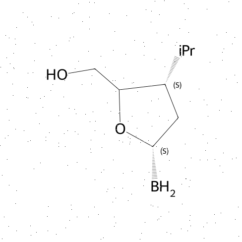 B[C@H]1C[C@@H](C(C)C)C(CO)O1